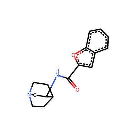 O=C(NC1CN2CCC1CC2)c1cc2ccccc2o1